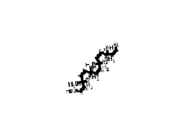 BC(B)(/C=C\CC)/C=C\C(B)(B)/C=C\C(B)(B)/C=C\C(B)(B)/C=C\CCCC